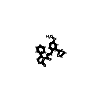 COc1ccc(C=CC(=O)N2C(=O)OCC2c2ccccc2)c(C2OCCO2)c1